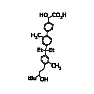 CCC(CC)(c1ccc(CCC(O)C(C)(C)C)c(C)c1)c1ccc(-c2ccc(C(O)C(=O)O)cc2)c(C)c1